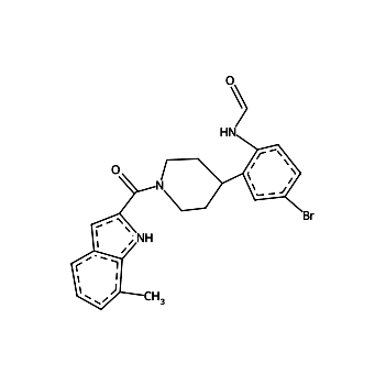 Cc1cccc2cc(C(=O)N3CCC(c4cc(Br)ccc4NC=O)CC3)[nH]c12